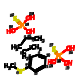 CC.CCC.CSc1ccccc1.OP(O)(O)=S.OP(O)(O)=S